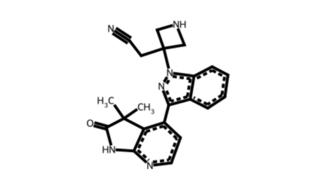 CC1(C)C(=O)Nc2nccc(-c3nn(C4(CC#N)CNC4)c4ccccc34)c21